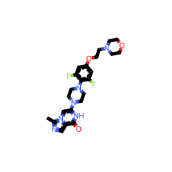 Cc1ncc2c(=O)[nH]c(N3CCN(c4c(F)cc(OCCN5CCOCC5)cc4F)CC3)cn12